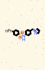 CCCc1ccc(S(=O)(=O)Nc2ccc(Cn3cccn3)cc2)cc1